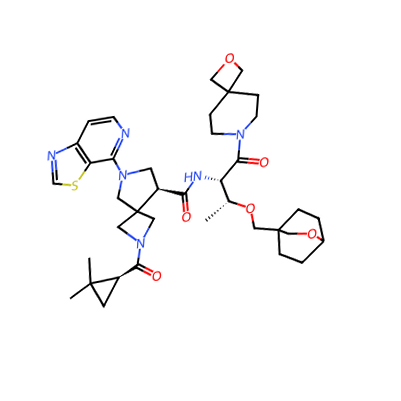 C[C@@H](OCC12CCC(CC1)OC2)[C@H](NC(=O)[C@@H]1CN(c2nccc3ncsc23)CC12CN(C(=O)[C@H]1CC1(C)C)C2)C(=O)N1CCC2(CC1)COC2